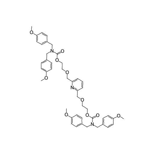 COc1ccc(CN(Cc2ccc(OC)cc2)C(=O)OCCOCc2cccc(COCCOC(=O)N(Cc3ccc(OC)cc3)Cc3ccc(OC)cc3)n2)cc1